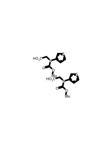 CC(C)(C)OC(=O)N(CC(=O)O)c1ccsc1.CC(C)(C)OC(=O)N(CC(=O)O)c1ccsc1